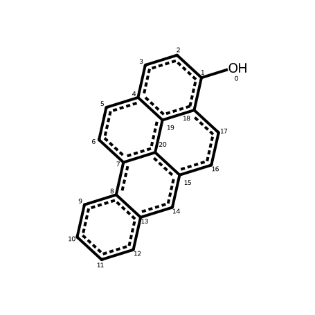 Oc1ccc2ccc3c4ccccc4cc4ccc1c2c43